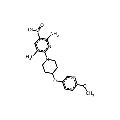 COc1ccc(OC2CCN(c3nc(N)c([N+](=O)[O-])cc3C)CC2)cn1